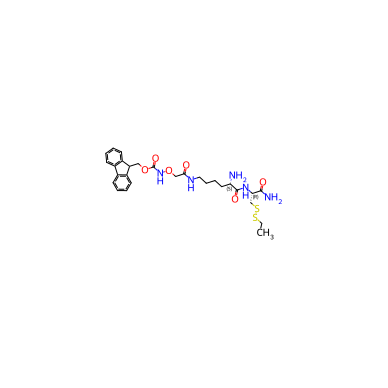 CCSSC[C@H](NC(=O)[C@@H](N)CCCCNC(=O)CONC(=O)OCC1c2ccccc2-c2ccccc21)C(N)=O